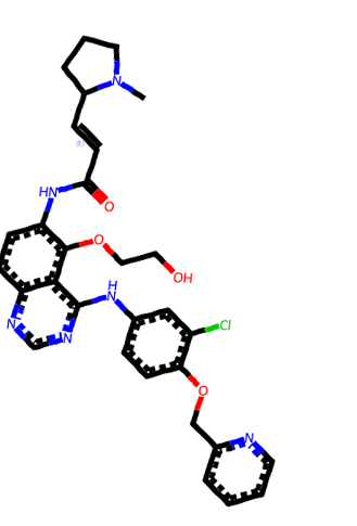 CN1CCCC1/C=C/C(=O)Nc1ccc2ncnc(Nc3ccc(OCc4ccccn4)c(Cl)c3)c2c1OCCO